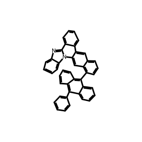 c1ccc(-c2c3ccccc3c(-c3cccc4cc5c6ccccc6c6nc7ccccc7n6c5cc34)c3ccccc23)cc1